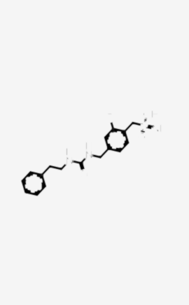 N=S(=O)(O)Cc1ccc(CNC(=O)NCCc2ccccc2)cc1F